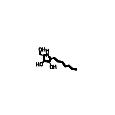 CCCCCCC[C@@H]1N[C@@H](CO)[C@H](O)[C@H]1O